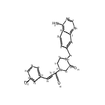 Nc1ncnc2cc(CN3CCN(C(=O)C=Cc4cccc(Cl)c4)CC3=O)ccc12